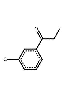 O=C(CI)c1cccc(Cl)c1